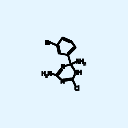 NC1=NC(N)(c2cccc(Br)c2)NC(Cl)=N1